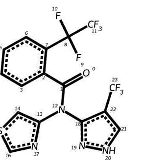 O=C(c1ccccc1C(F)(F)C(F)(F)F)N(c1cscn1)c1n[nH]cc1C(F)(F)F